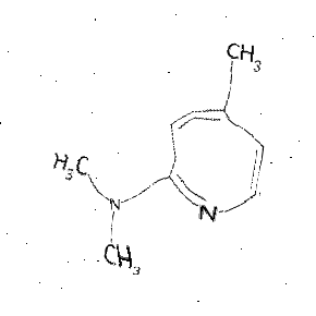 Cc1c[c]nc(N(C)C)c1